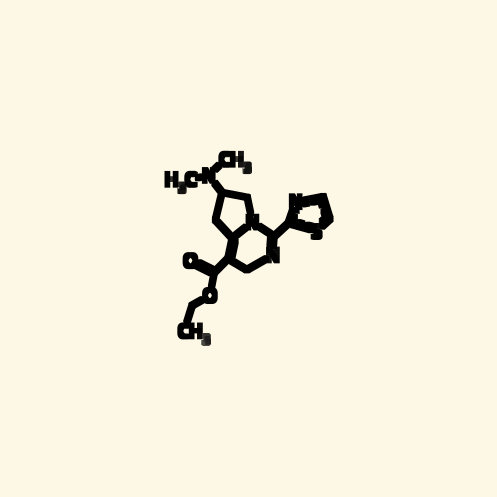 CCOC(=O)C1=C2CC(N(C)C)CN2C(c2nccs2)=NC1